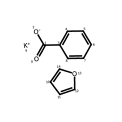 O=C([O-])c1ccccc1.[K+].c1ccoc1